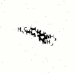 CCN1CCN(Cc2ccc(N)c(N)c2)CC1